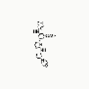 C=CC(=O)Nc1cc(OC)cc(-c2ccnc(Nc3cccc(N4CCOCC4)c3)n2)c1